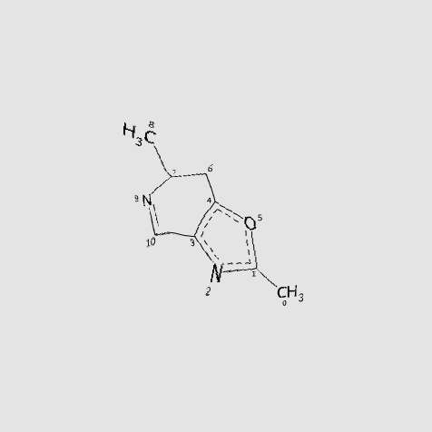 Cc1nc2c(o1)CC(C)N=C2